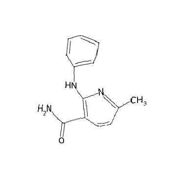 Cc1ccc(C(N)=O)c(Nc2ccccc2)n1